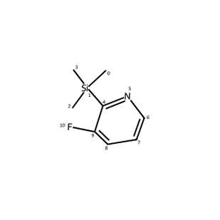 C[Si](C)(C)c1ncccc1F